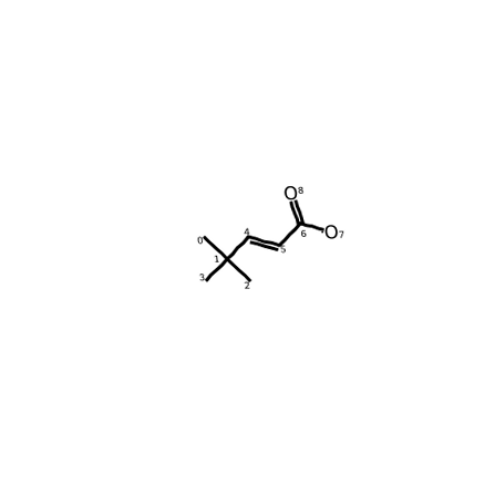 CC(C)(C)/C=C/C([O])=O